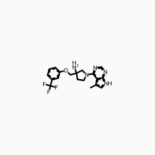 Cc1c[nH]c2ncnc(N3CCC(N)(COc4cccc(C(F)(F)F)c4)C3)c12